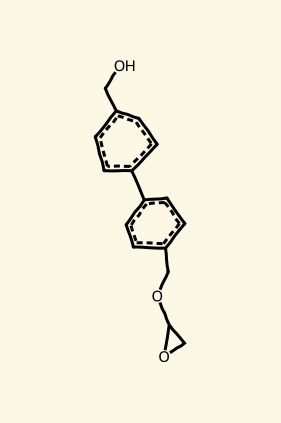 OCc1ccc(-c2ccc(COC3CO3)cc2)cc1